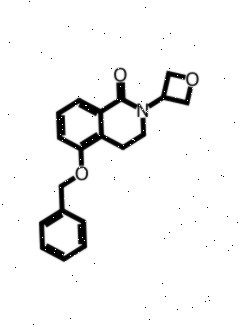 O=C1c2cccc(OCc3ccccc3)c2CCN1C1COC1